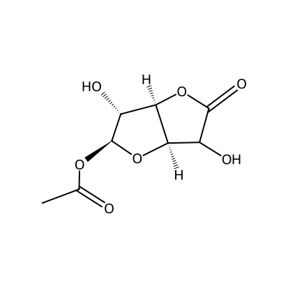 CC(=O)O[C@@H]1O[C@@H]2C(O)C(=O)O[C@@H]2[C@H]1O